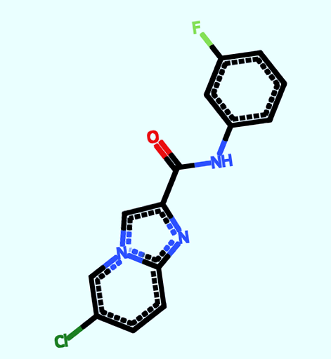 O=C(Nc1cccc(F)c1)c1cn2cc(Cl)ccc2n1